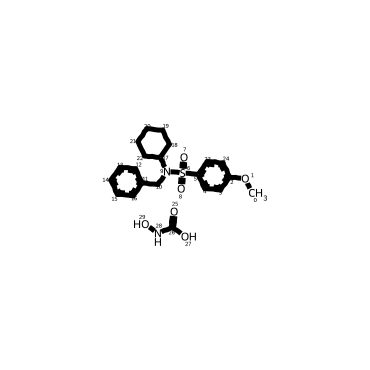 COc1ccc(S(=O)(=O)N(Cc2ccccc2)C2CCCCC2)cc1.O=C(O)NO